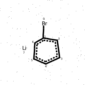 Brc1ccccc1.[Li]